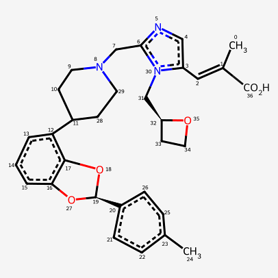 C/C(=C\c1cnc(CN2CCC(c3cccc4c3O[C@@H](c3ccc(C)cc3)O4)CC2)n1C[C@@H]1CCO1)C(=O)O